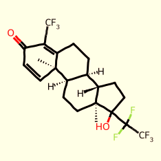 C[C@]12C=CC(=O)C(C(F)(F)F)=C1CC[C@@H]1[C@H]2CC[C@@]2(C)[C@H]1CCC2(O)C(F)(F)C(F)(F)F